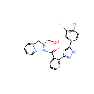 O=C(N[C@@H](CO)Cc1ccccn1)c1ccccc1-c1cc(-c2ccc(Cl)c(F)c2)[nH]n1